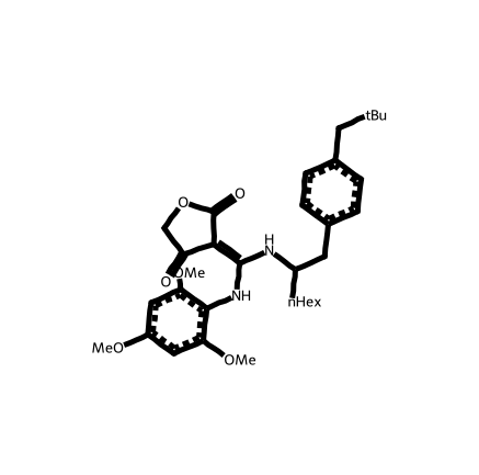 CCCCCCC(Cc1ccc(CC(C)(C)C)cc1)NC(Nc1c(OC)cc(OC)cc1OC)=C1C(=O)COC1=O